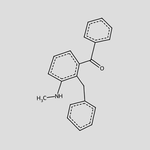 CNc1cccc(C(=O)c2ccccc2)c1Cc1ccccc1